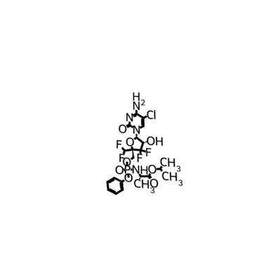 CC(C)OC(=O)[C@H](C)NP(=O)(OC[C@@]1(C(F)F)O[C@@H](n2cc(Cl)c(N)nc2=O)[C@H](O)C1(F)F)Oc1ccccc1